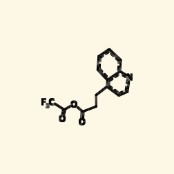 O=C(CCc1ccnc2ccccc12)OC(=O)C(F)(F)F